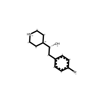 O[C@H](Cc1ccc(Br)cc1)C1CCNCC1